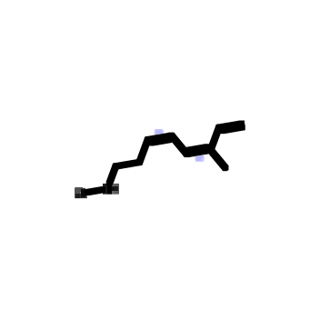 C=C/C(C)=C\C=C/CCNCC